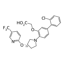 O=C(O)COc1cc(-c2ccccc2Cl)ccc1N1CC[C@H](Oc2ccc(C(F)(F)F)cn2)C1